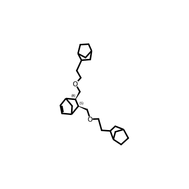 C1=CC2CC1[C@@H](COCCC1CC3CCC1C3)[C@H]2COCCC1CC2CCC1C2